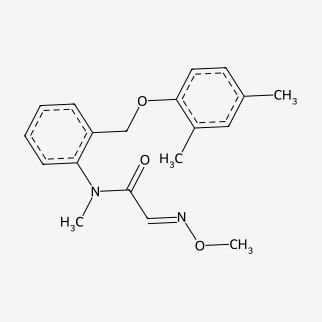 CON=CC(=O)N(C)c1ccccc1COc1ccc(C)cc1C